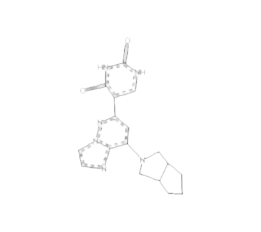 O=c1[nH]cc(-c2cc(N3CC4CCCC4C3)c3nccn3n2)c(=O)[nH]1